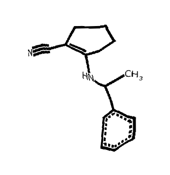 CC(NC1=C(C#N)CCC1)c1ccccc1